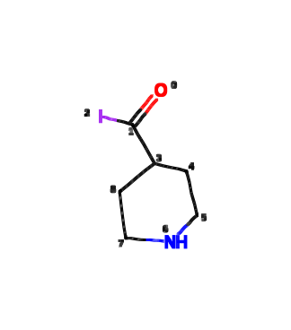 O=C(I)C1CCNCC1